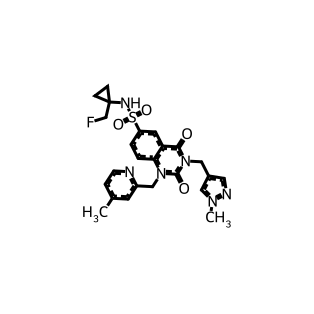 Cc1ccnc(Cn2c(=O)n(Cc3cnn(C)c3)c(=O)c3cc(S(=O)(=O)NC4(CF)CC4)ccc32)c1